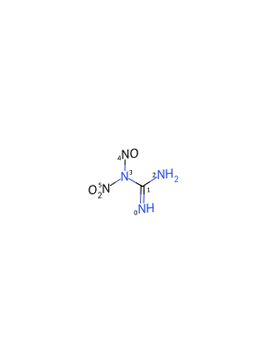 N=C(N)N(N=O)[N+](=O)[O-]